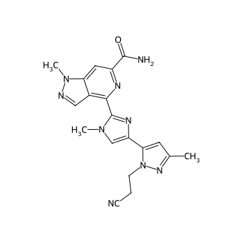 Cc1cc(-c2cn(C)c(-c3nc(C(N)=O)cc4c3cnn4C)n2)n(CCC#N)n1